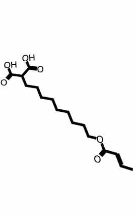 CC=CC(=O)OCCCCCCCCCC(C(=O)O)C(=O)O